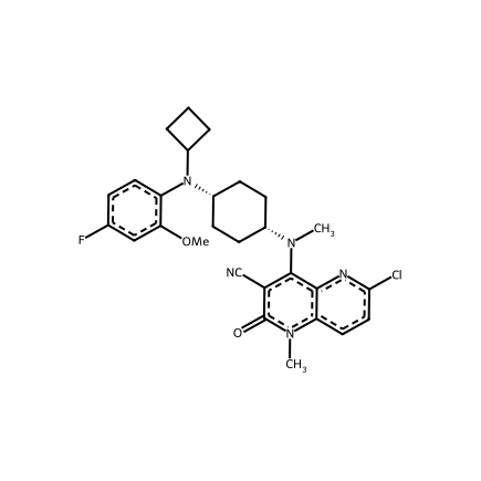 COc1cc(F)ccc1N(C1CCC1)[C@H]1CC[C@@H](N(C)c2c(C#N)c(=O)n(C)c3ccc(Cl)nc23)CC1